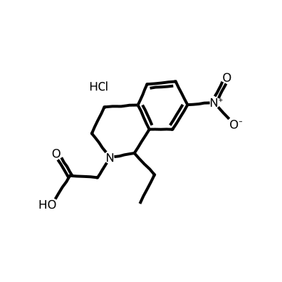 CCC1c2cc([N+](=O)[O-])ccc2CCN1CC(=O)O.Cl